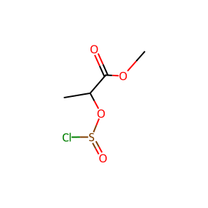 COC(=O)C(C)OS(=O)Cl